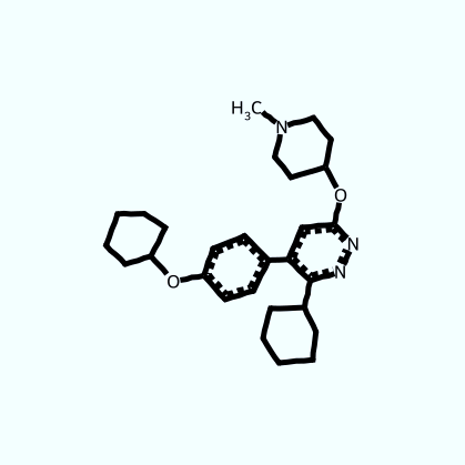 CN1CCC(Oc2cc(-c3ccc(OC4CCCCC4)cc3)c(C3CCCCC3)nn2)CC1